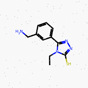 CCn1c(S)nnc1-c1cccc(CN)c1